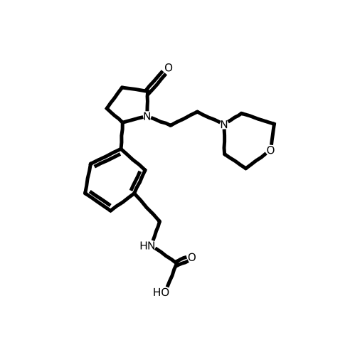 O=C(O)NCc1cccc(C2CCC(=O)N2CCN2CCOCC2)c1